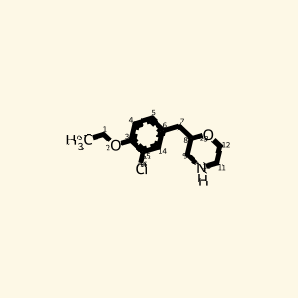 CCOc1ccc(CC2CNCCO2)cc1Cl